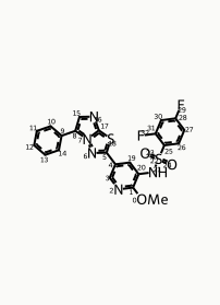 COc1ncc(-c2nn3c(-c4ccccc4)cnc3s2)cc1NS(=O)(=O)c1ccc(F)cc1F